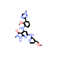 COCc1ccnc(Nc2cc(Nc3cccc(-c4ncn(C)n4)c3OC)c3c(=O)n(C)[nH]c3n2)c1